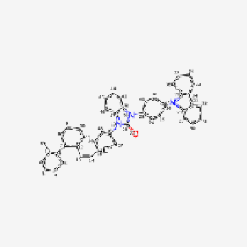 Cc1ccccc1-c1ccccc1/C=C\c1ccc(-n2c(=O)n(-c3ccc(-n4c5ccccc5c5ccccc54)cc3)c3ccccc32)cc1